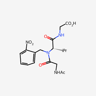 CC(=O)NCC(=O)N(Cc1ccccc1[N+](=O)[O-])[C@H](C(=O)NCC(=O)O)C(C)C